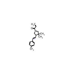 C=CC(=O)N1CC(/C=C/c2ccc(C(F)(F)F)cc2)C(C)(C)C1